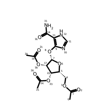 CC(=O)OC[C@H]1O[C@@H](Oc2nc[nH]c2C(N)=O)[C@@H](OC(C)=O)[C@H]1OC(C)=O